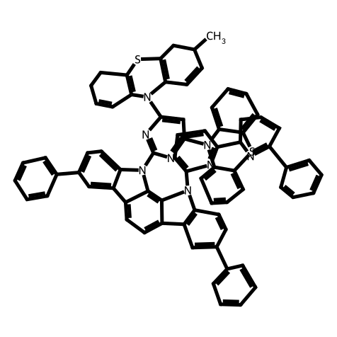 CC1C=CC2=C(C1)SC1=C(C=CCC1)N2c1cc(N2c3ccccc3Sc3ccccc32)nc(-n2c3ccc(-c4ccccc4)cc3c3ccc4c5cc(-c6ccccc6)ccc5n(-c5cccc(C6CC=CC(c7ccccc7)=N6)n5)c4c32)n1